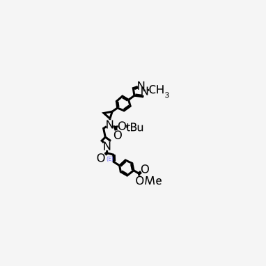 COC(=O)c1ccc(/C=C/C(=O)N2CC(CN(C(=O)OC(C)(C)C)C3CC3c3ccc(-c4cnn(C)c4)cc3)C2)cc1